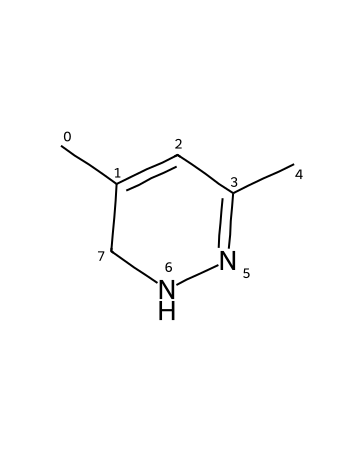 CC1=CC(C)=NNC1